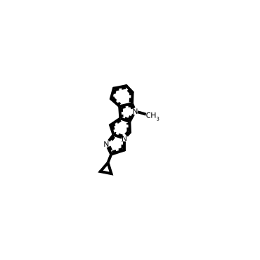 Cn1c2ccccc2c2cc3nc(C4CC4)cn3cc21